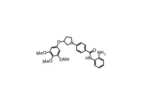 COc1cc(OC2CCN(c3ccc(C(=O)Nc4ccccc4N)cc3)C2)cc(OC)c1OC